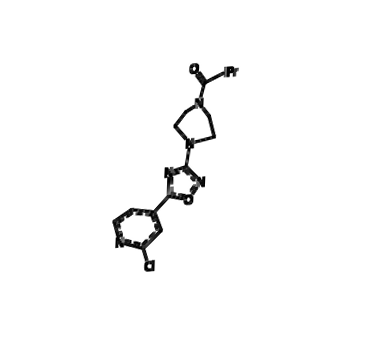 CC(C)C(=O)N1CCN(c2noc(-c3ccnc(Cl)c3)n2)CC1